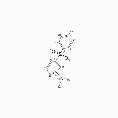 Cc1ccc(S(=O)(=O)c2[c]ccc(N(C)C)c2)cc1